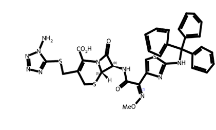 CO/N=C(\C(=O)N[C@@H]1C(=O)N2C(C(=O)O)=C(CSc3nnnn3N)CS[C@@H]12)c1csc(NC(c2ccccc2)(c2ccccc2)c2ccccc2)n1